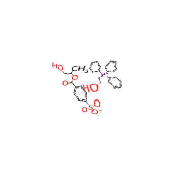 CC(CO)OC(=O)c1ccc(S(=O)(=O)[O-])cc1.OCC[P+](c1ccccc1)(c1ccccc1)c1ccccc1